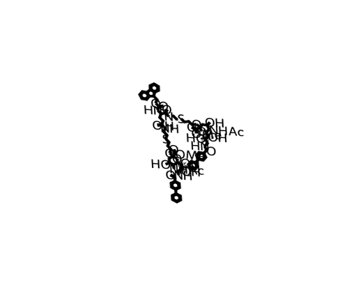 COC(=O)C1(OCCCSCCNC(=O)CCC(NC(=O)OCC2c3ccccc3-c3ccccc32)C(=O)NCCSCCCOC2(C(=O)OC)CC(O)C(NC(C)=O)C([C@H](O)[C@H](O)CNC(=O)c3ccc(-c4ccccc4)cc3)O2)CC(O)C(NC(C)=O)C([C@H](O)[C@H](O)CNC(=O)c2ccc(-c3ccccc3)cc2)O1